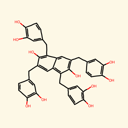 Oc1ccc(Cc2cc3c(Cc4ccc(O)c(O)c4)c(O)c(Cc4ccc(O)c(O)c4)cc3c(Cc3ccc(O)c(O)c3)c2O)cc1O